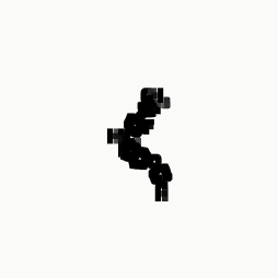 Cn1cc(-c2ccc(Nc3ncc4ccc(OC5CCNCC5)cc4n3)cc2F)cn1